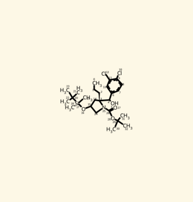 CCC[C@]1(C(O)c2ccc(Cl)c(Cl)c2)CC(O[Si](C)(C)C(C)(C)C)CN1C(=O)OC(C)(C)C